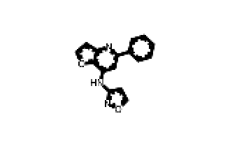 c1ccc(-c2cc(Nc3ccon3)c3occc3n2)cc1